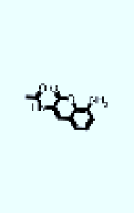 CC(=O)Nc1cc2cccc(N)c2oc1=O